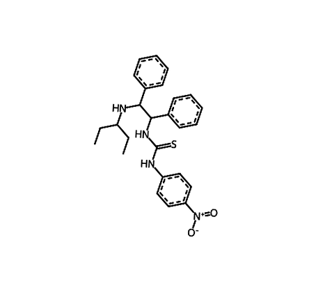 CCC(CC)NC(c1ccccc1)C(NC(=S)Nc1ccc([N+](=O)[O-])cc1)c1ccccc1